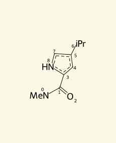 CNC(=O)c1cc(C(C)C)c[nH]1